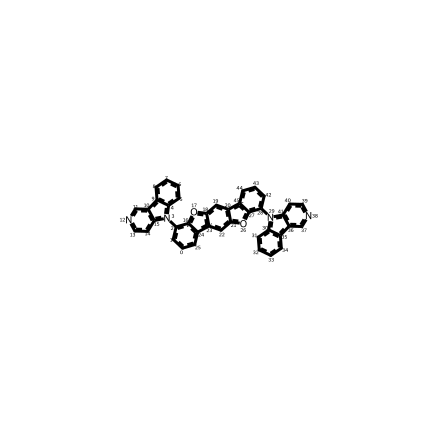 c1cc(-n2c3ccccc3c3cnccc32)c2oc3cc4c(cc3c2c1)oc1c(-n2c3ccccc3c3cnccc32)cccc14